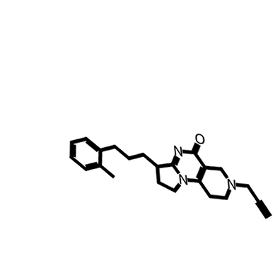 C#CCN1CCc2c(c(=O)nc3n2CCC3CCCc2ccccc2C)C1